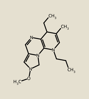 CCCN1C=C(C)C(CC)C2=C1N1CN(OC)C=C1C=N2